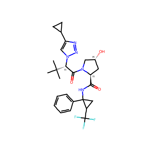 CC(C)(C)[C@@H](C(=O)N1C[C@H](O)C[C@H]1C(=O)NC1(c2ccccc2)CC1C(F)(F)F)n1cc(C2CC2)nn1